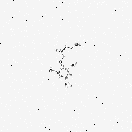 Cl.NC/C=C(/F)COc1ccc([N+](=O)[O-])cc1Cl